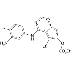 CCOC(=O)Oc1cn2ncnc(Nc3ccc(C)c(N)c3)c2c1CC